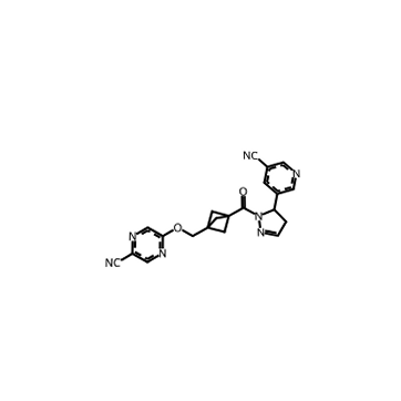 N#Cc1cncc(C2CC=NN2C(=O)C23CC(COc4cnc(C#N)cn4)(C2)C3)c1